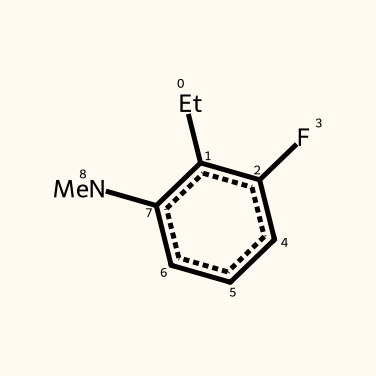 CCc1c(F)cccc1NC